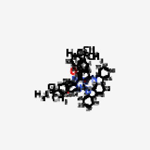 CC(C)(C)c1ccc(-c2nc(-c3ccc(C(C)(C)C)cc3)nc(-n3c4ccccc4c4ccc5c6ccccc6n(-c6cc(-c7ccccc7)c7oc8ccccc8c7c6)c5c43)n2)cc1